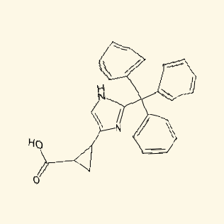 O=C(O)C1CC1c1c[nH]c(C(c2ccccc2)(c2ccccc2)c2ccccc2)n1